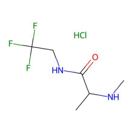 CNC(C)C(=O)NCC(F)(F)F.Cl